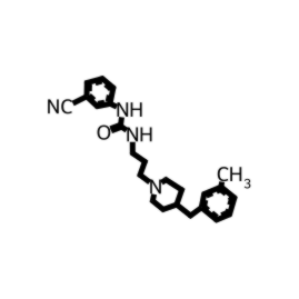 Cc1cccc(CC2CCN(CCCNC(=O)Nc3cccc(C#N)c3)CC2)c1